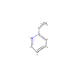 C=CC1=CC=CC=[N+]1